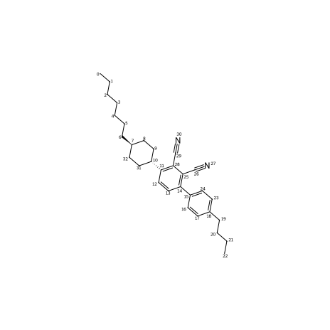 CCCCCCC[C@H]1CC[C@H](c2ccc(-c3ccc(CCCC)cc3)c(C#N)c2C#N)CC1